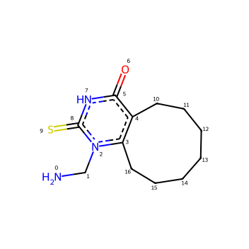 NCn1c2c(c(=O)[nH]c1=S)CCCCCCC2